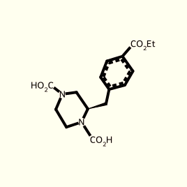 CCOC(=O)c1ccc(C[C@@H]2CN(C(=O)O)CCN2C(=O)O)cc1